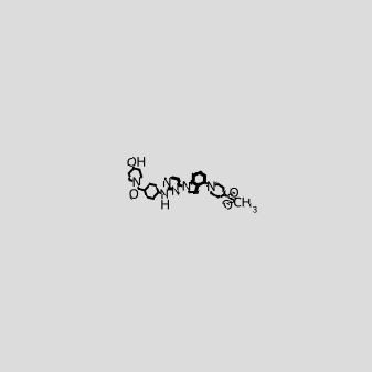 CS(=O)(=O)C1CCN(c2cccc3c2ccn3-c2ccnc(NC3CCC(C(=O)N4CCC(O)CC4)CC3)n2)CC1